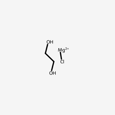 OCCO.[Mg+2][Cl]